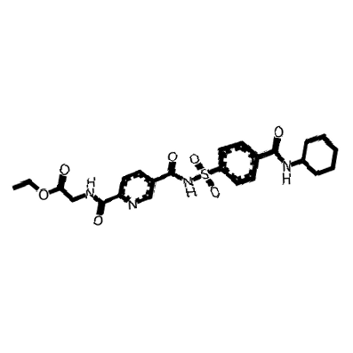 CCOC(=O)CNC(=O)c1ccc(C(=O)NS(=O)(=O)c2ccc(C(=O)NC3CCCCC3)cc2)cn1